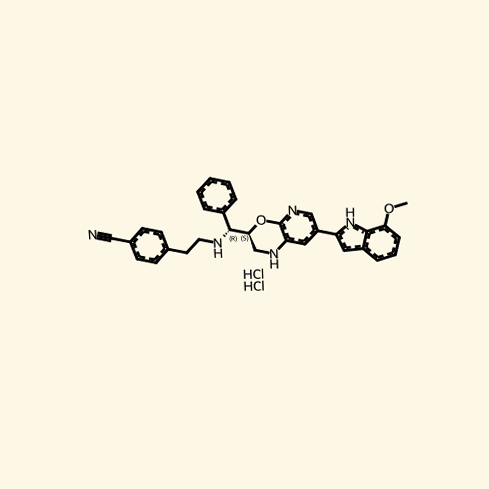 COc1cccc2cc(-c3cnc4c(c3)NC[C@@H]([C@H](NCCc3ccc(C#N)cc3)c3ccccc3)O4)[nH]c12.Cl.Cl